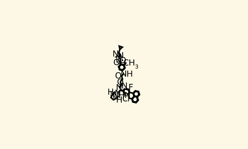 Cc1cc(NC(=O)COc2nc(N3C[C@H]4CC[C@@H](C3)N4)c3cnc(-c4cccc5cccc(Cl)c45)c(F)c3n2)ccc1S(=O)(=O)n1cnc(C2CC2)n1